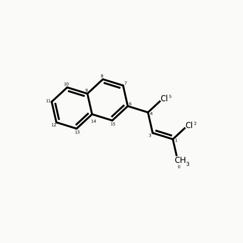 C/C(Cl)=C/C(Cl)c1ccc2ccccc2c1